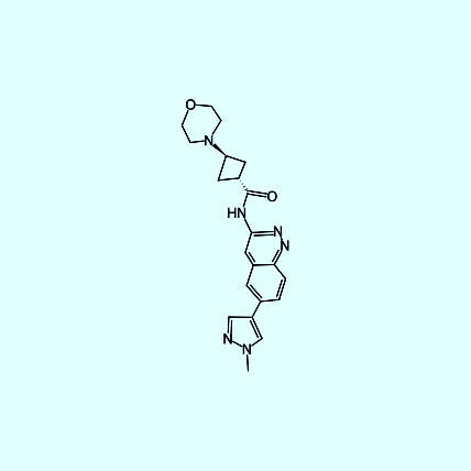 Cn1cc(-c2ccc3nnc(NC(=O)[C@H]4C[C@H](N5CCOCC5)C4)cc3c2)cn1